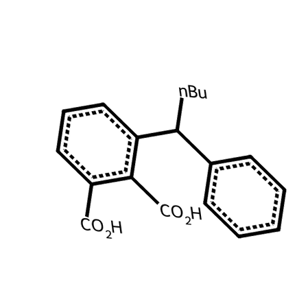 CCCCC(c1ccccc1)c1cccc(C(=O)O)c1C(=O)O